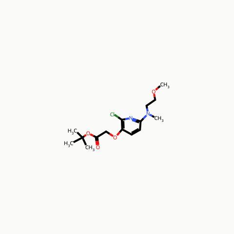 COCCN(C)c1ccc(OCC(=O)OC(C)(C)C)c(Cl)n1